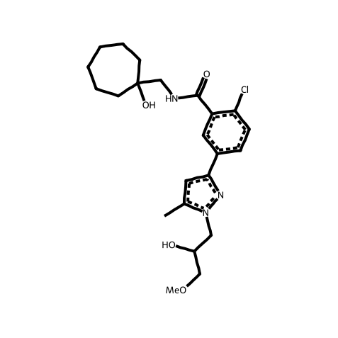 COCC(O)Cn1nc(-c2ccc(Cl)c(C(=O)NCC3(O)CCCCCC3)c2)cc1C